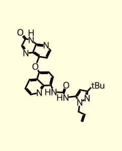 C=CCn1nc(C(C)(C)C)cc1NC(=O)Nc1ccc(Oc2ccnc3[nH]c(=O)cnc23)c2cccnc12